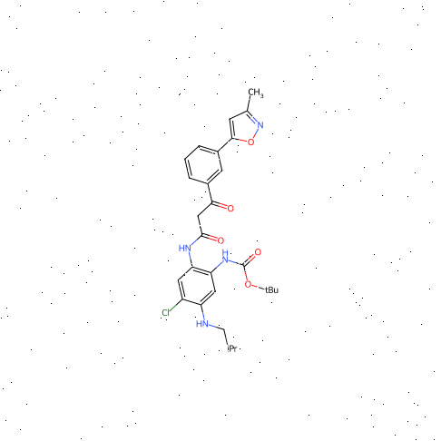 Cc1cc(-c2cccc(C(=O)CC(=O)Nc3cc(Cl)c(NCC(C)C)cc3NC(=O)OC(C)(C)C)c2)on1